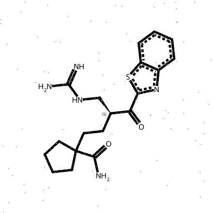 N=C(N)NC[C@H](CCC1(C(N)=O)CCCC1)C(=O)c1nc2ccccc2s1